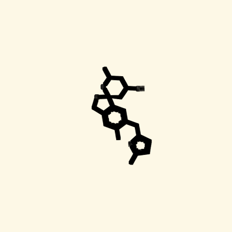 Cc1ccc(Cc2cc3c(cc2C)CO[C@@]32CC(O)CC(C)O2)s1